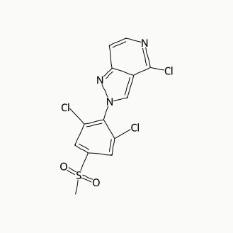 CS(=O)(=O)c1cc(Cl)c(-n2cc3c(Cl)nccc3n2)c(Cl)c1